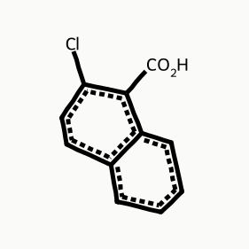 O=C(O)c1c(Cl)ccc2ccccc12